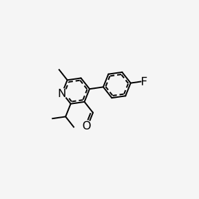 Cc1cc(-c2ccc(F)cc2)c(C=O)c(C(C)C)n1